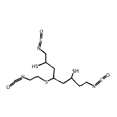 O=C=NCCSC(CC(S)CCN=C=O)CC(S)CN=C=O